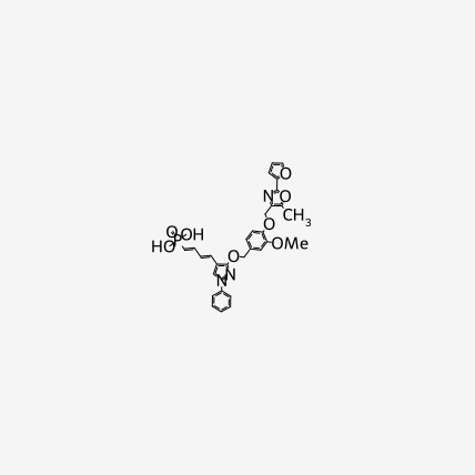 COc1cc(COc2nn(-c3ccccc3)cc2C=CC=CP(=O)(O)O)ccc1OCc1nc(-c2ccco2)oc1C